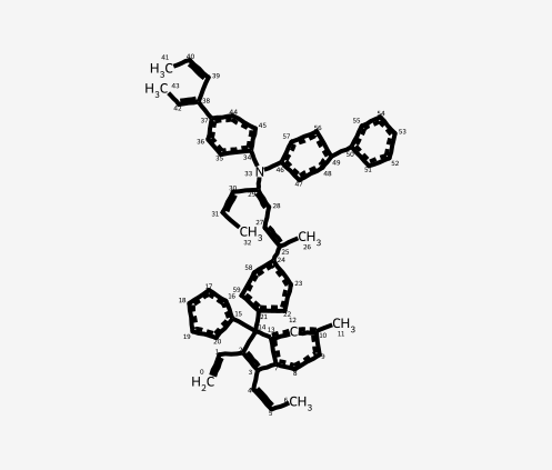 C=CC1=C(/C=C\C)c2ccc(C)cc2C1(c1ccccc1)c1ccc(/C(C)=C/C=C(\C=C/C)N(c2ccc(C(/C=C\C)=C/C)cc2)c2ccc(-c3ccccc3)cc2)cc1